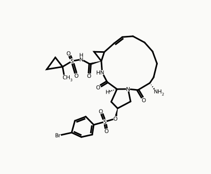 CC1(S(=O)(=O)NC(=O)[C@@]23CC2/C=C\CCCCC[C@H](N)C(=O)N2C[C@@H](OS(=O)(=O)c4ccc(Br)cc4)C[C@H]2C(=O)N3)CC1